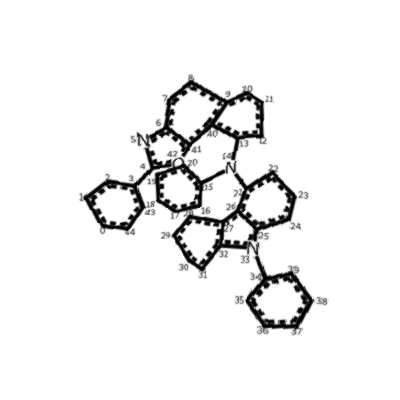 c1ccc(-c2nc3ccc4cccc(N(c5ccccc5)c5cccc6c5c5ccccc5n6-c5ccccc5)c4c3o2)cc1